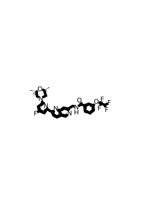 C[C@@H]1CN(c2cc(F)cc(-c3ccc4cnc(CNC(=O)c5cccc(OC(F)(F)C(F)F)c5)cc4n3)n2)C[C@H](C)O1